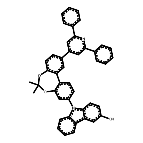 CC1(C)Oc2cc(-n3c4ccccc4c4cc(C#N)ccc43)ccc2-c2cc(-c3cc(-c4ccccc4)nc(-c4ccccc4)c3)ccc2O1